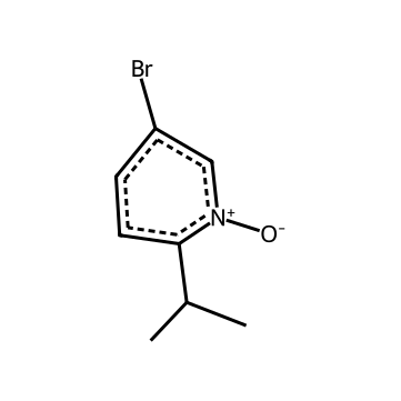 CC(C)c1ccc(Br)c[n+]1[O-]